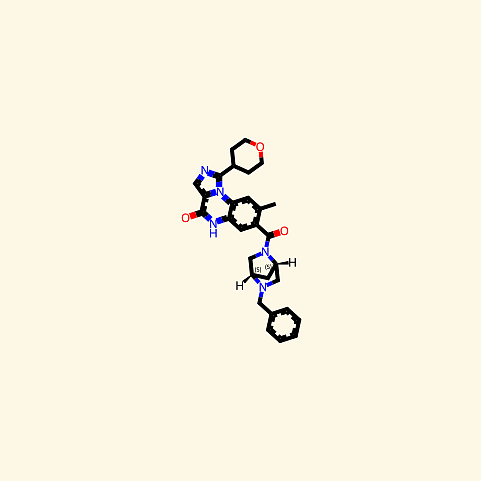 Cc1cc2c(cc1C(=O)N1C[C@@H]3C[C@H]1CN3Cc1ccccc1)[nH]c(=O)c1cnc(C3CCOCC3)n12